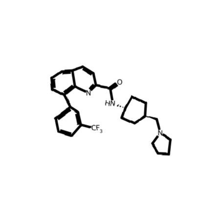 O=C(N[C@H]1CC[C@H](CN2CCCC2)CC1)c1ccc2cccc(-c3cccc(C(F)(F)F)c3)c2n1